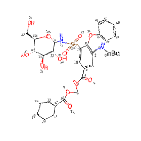 CCCCNc1cc(C(=O)OCOC(=O)C2CCCCC2)cc(S(=O)(=O)NC2O[C@H](CO)[C@@H](O)[C@H](O)[C@H]2O)c1Oc1ccccc1